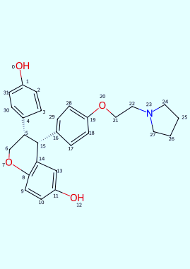 Oc1ccc([C@H]2COc3ccc(O)cc3[C@H]2c2ccc(OCCN3CCCC3)cc2)cc1